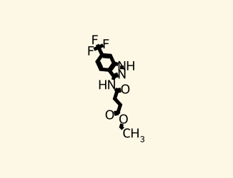 CCOC(=O)CCC(=O)Nc1n[nH]c2cc(C(F)(F)F)ccc12